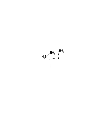 C=CO[SiH3].N[SiH3]